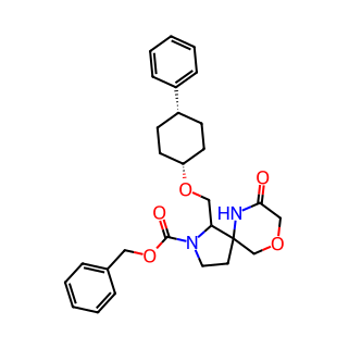 O=C1COCC2(CCN(C(=O)OCc3ccccc3)C2CO[C@H]2CC[C@@H](c3ccccc3)CC2)N1